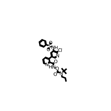 CCCN(C(=O)ONC(=O)c1ncccc1-c1cnc(Cl)c(NS(=O)(=O)c2ccccc2)c1)C(C)(C)C